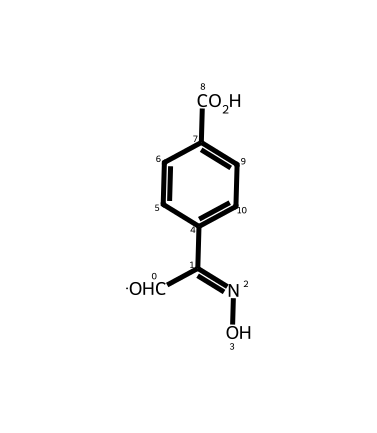 O=[C]C(=NO)c1ccc(C(=O)O)cc1